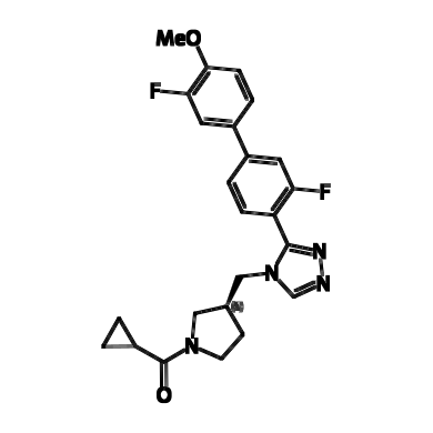 COc1ccc(-c2ccc(-c3nncn3C[C@H]3CCN(C(=O)C4CC4)C3)c(F)c2)cc1F